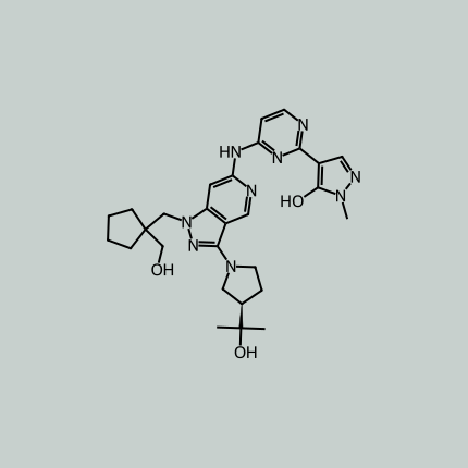 Cn1ncc(-c2nccc(Nc3cc4c(cn3)c(N3CC[C@@H](C(C)(C)O)C3)nn4CC3(CO)CCCC3)n2)c1O